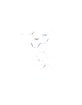 COC(=O)c1ccc(N2C[C@@H](C)N(C(=O)OC(C)(C)C)[C@@H](C)C2)c2ncc(O)nc12